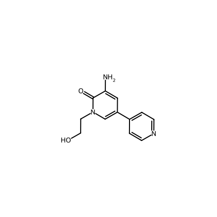 Nc1cc(-c2ccncc2)cn(CCO)c1=O